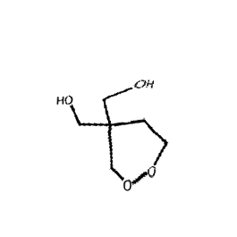 OCC1(CO)CCOOC1